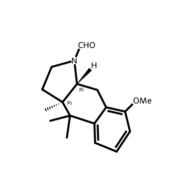 COc1cccc2c1C[C@H]1N(C=O)CC[C@]1(C)C2(C)C